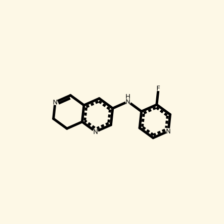 Fc1cnccc1Nc1cnc2c(c1)C=NCC2